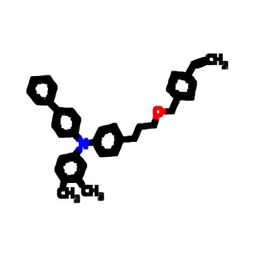 C=Cc1ccc(COCCCc2ccc(N(c3ccc(-c4ccccc4)cc3)c3ccc(C)c(C)c3)cc2)cc1